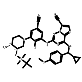 COc1ccc(C(Nc2nc(Nc3cc(C#N)cc(N4CC[C@@H](N)[C@H](O[Si](C)(C)C(C)(C)C)C4)c3Cl)nn3c(C#N)cnc23)C2CC2)cc1